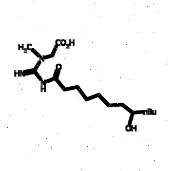 CCCCC(O)CCCCCCC(=O)NC(=N)N(C)CC(=O)O